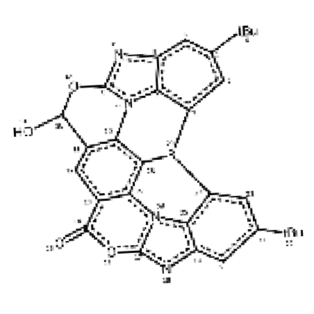 CC(C)(C)c1cc2c3c(c1)nc1n3-c3c(cc4c(=O)oc5nc6cc(C(C)(C)C)cc7c6n5c4c3B27)C(O)O1